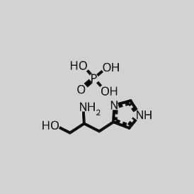 NC(CO)Cc1c[nH]cn1.O=P(O)(O)O